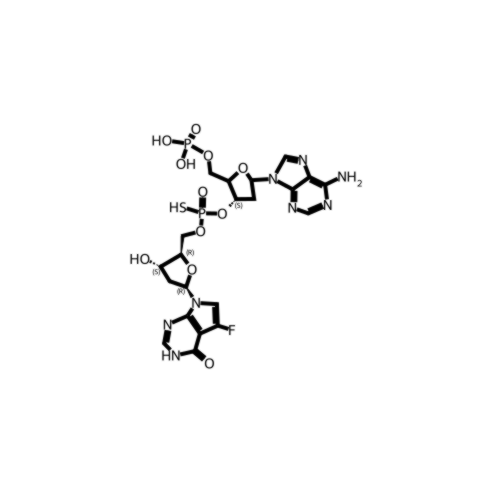 Nc1ncnc2c1ncn2C1C[C@H](OP(=O)(S)OC[C@H]2O[C@@H](n3cc(F)c4c(=O)[nH]cnc43)C[C@@H]2O)C(COP(=O)(O)O)O1